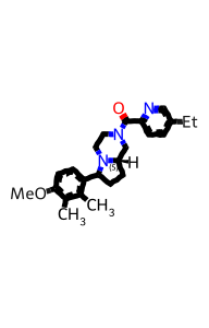 CCc1ccc(C(=O)N2CCN3C(c4ccc(OC)c(C)c4C)CC[C@H]3C2)nc1